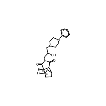 O=C1C2C3CC[C@@H](C3)[C@@H]2C(=O)N1CC(O)CN1CCN(c2ccccn2)CC1